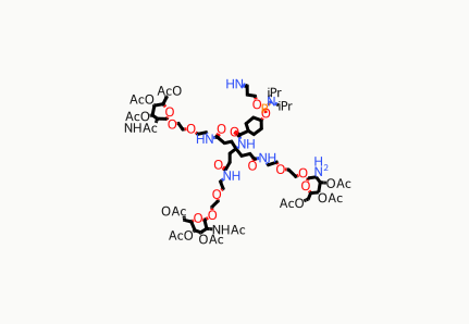 CC(=O)NC1C(OCCOCCNC(=O)CCC(CCC(=O)NCCOCCOC2OC(COC(C)=O)C(OC(C)=O)C(OC(C)=O)C2N)(CCC(=O)NCCOCCOC2OC(COC(C)=O)C(OC(C)=O)C(OC(C)=O)C2NC(C)=O)NC(=O)C2CCC(OP(OCCC=N)N(C(C)C)C(C)C)CC2)OC(COC(C)=O)C(OC(C)=O)C1OC(C)=O